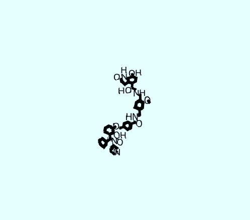 COc1cc(CNC(=O)c2ccc(COc3cccc([C@H](c4ccccc4)N(C(=O)O)C4CN5CCC4CC5)c3)cc2)ccc1CNCC(O)c1ccc(O)c2[nH]c(=O)ccc12